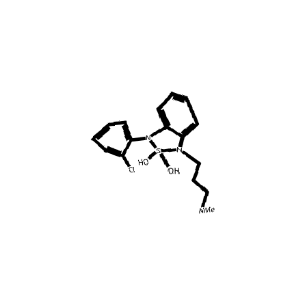 CNCCCN1c2ccccc2N(c2ccccc2Cl)S1(O)O